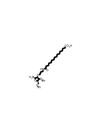 B[C@@H]1O[C@H](COC(C)C)C(OC(C)C)[C@@H]1OCCCNC(=O)CCCCCCCCCCCCCCC(=O)O